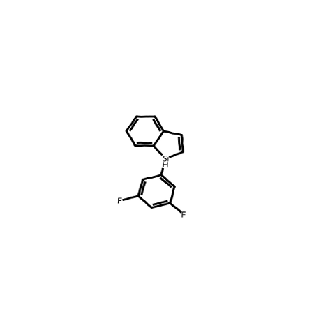 Fc1cc(F)cc([SiH]2C=Cc3ccccc32)c1